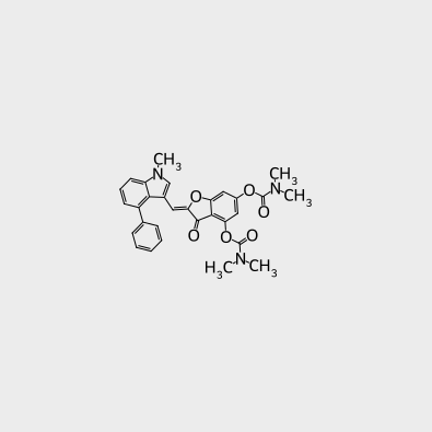 CN(C)C(=O)Oc1cc(OC(=O)N(C)C)c2c(c1)OC(=Cc1cn(C)c3cccc(-c4ccccc4)c13)C2=O